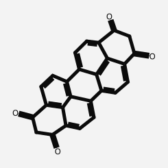 O=C1CC(=O)c2ccc3c4ccc5c6c(ccc(c7ccc1c2c73)c64)C(=O)CC5=O